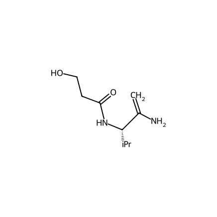 C=C(N)[C@@H](NC(=O)CCO)C(C)C